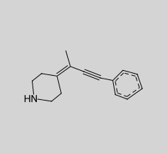 CC(C#Cc1ccccc1)=C1CCNCC1